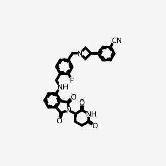 N#Cc1cccc(C2CN(Cc3ccc(CNc4cccc5c4C(=O)N(C4CCC(=O)NC4=O)C5=O)c(F)c3)C2)c1